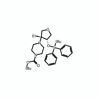 CC[C@@]1(N2CCN(C(=O)OC(C)(C)C)CC2)COC[C@@H]1O[Si](c1ccccc1)(c1ccccc1)C(C)(C)C